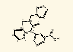 COC(=O)c1cccc(-n2c(=O)c(Cc3ccccc3)nc3cccnc32)c1